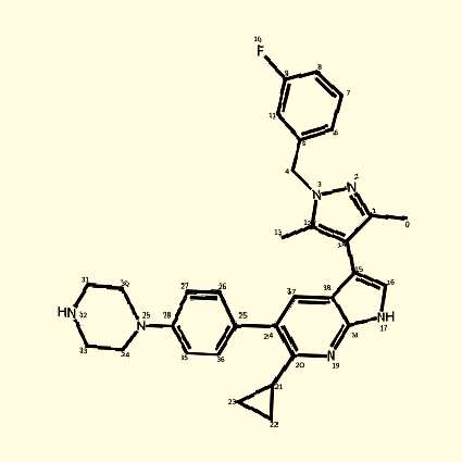 Cc1nn(Cc2cccc(F)c2)c(C)c1-c1c[nH]c2nc(C3CC3)c(-c3ccc(N4CCNCC4)cc3)cc12